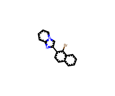 Brc1c(-c2cn3ccccc3n2)ccc2ccccc12